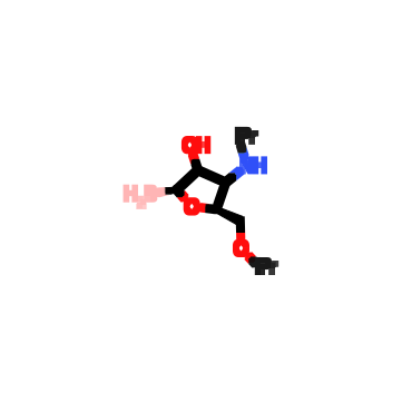 B[C@@H]1O[C@H](COC(C)C)C(NC(C)C)C1O